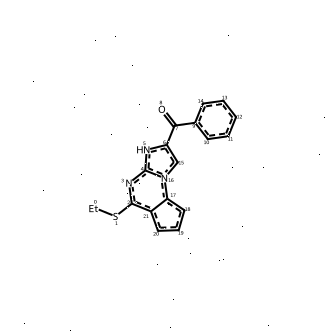 CCSc1nc2[nH]c(C(=O)c3ccccc3)cn2c2cccc1-2